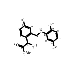 COC(=O)C(O)c1ccc(Cl)cc1COc1cc(C(C)C)ccc1C(C)C